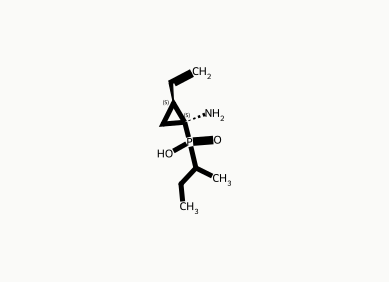 C=C[C@@H]1C[C@]1(N)P(=O)(O)C(C)CC